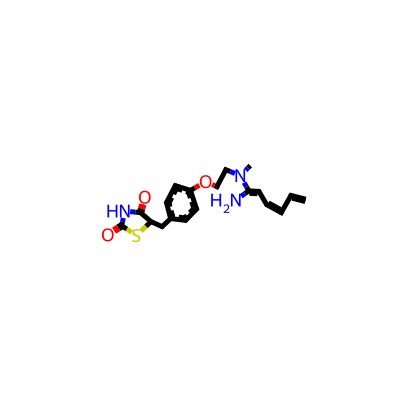 C=C/C=C\C=C(/N)N(C)CCOc1ccc(CC2SC(=O)NC2=O)cc1